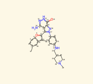 Cc1ccc2oc(-c3c4c(N)n[nH]c(=O)c4nn3-c3ccc(NCC4CCN(C)CC4)cc3)c(C)c2c1